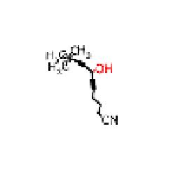 C[Si](C)(C)C#CC(O)C#CCCCC#N